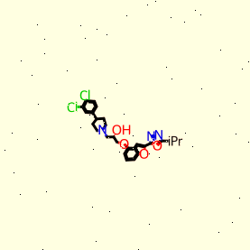 CC(C)c1nnc(-c2cc3c(OC[C@@H](O)CN4CCC(c5ccc(Cl)c(Cl)c5)CC4)cccc3o2)o1